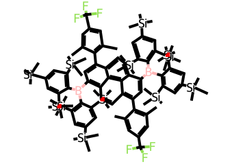 Cc1cc(C(F)(F)F)cc(C)c1-c1cc(B(c2c([Si](C)(C)C)cc([Si](C)(C)C)cc2[Si](C)(C)C)c2c([Si](C)(C)C)cc([Si](C)(C)C)cc2[Si](C)(C)C)c2ccc3c(-c4c(C)cc(C(F)(F)F)cc4C)cc(B(c4c([Si](C)(C)C)cc([Si](C)(C)C)cc4[Si](C)(C)C)c4c([Si](C)(C)C)cc([Si](C)(C)C)cc4[Si](C)(C)C)c4ccc1c2c43